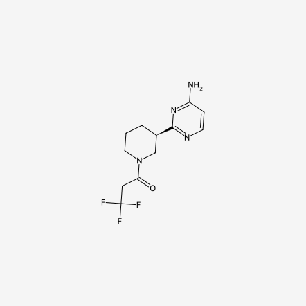 Nc1ccnc([C@@H]2CCCN(C(=O)CC(F)(F)F)C2)n1